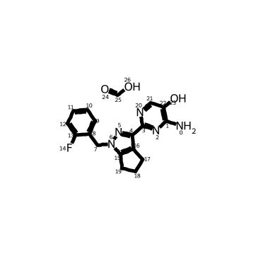 Nc1nc(-c2nn(Cc3ccccc3F)c3c2CCC3)ncc1O.O=CO